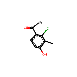 Cc1c(O)ccc(C(=O)C(C)C)c1Cl